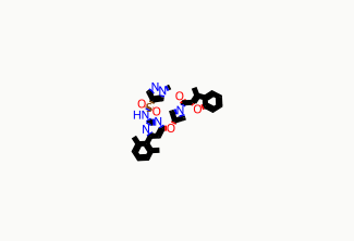 Cc1cccc(C)c1-c1cc(OC2CN(C(=O)c3oc4ccccc4c3C)C2)nc(NS(=O)(=O)c2cnn(C)c2)n1